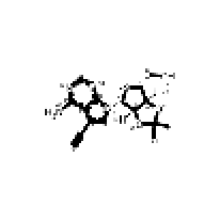 C#Cc1cn([C@@H]2S[C@H](CO)[C@H]3OC(C)(C)O[C@H]32)c2ncnc(N)c12